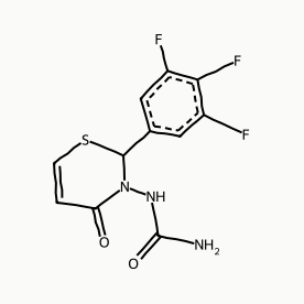 NC(=O)NN1C(=O)C=CSC1c1cc(F)c(F)c(F)c1